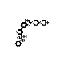 CN1CCN(C2CCN(c3cnc4ccc(-c5cncc(NS(=O)(=O)c6ccccc6)c5)cc4n3)CC2)CC1